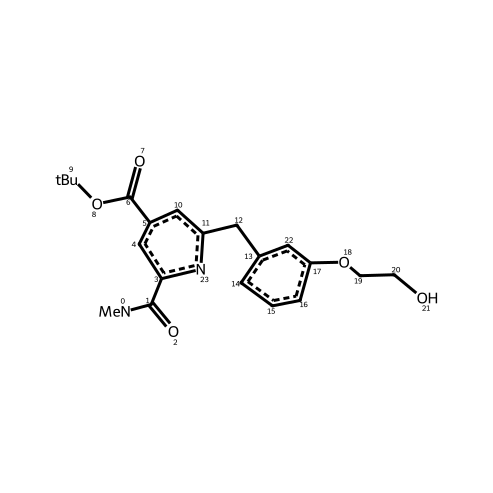 CNC(=O)c1cc(C(=O)OC(C)(C)C)cc(Cc2cccc(OCCO)c2)n1